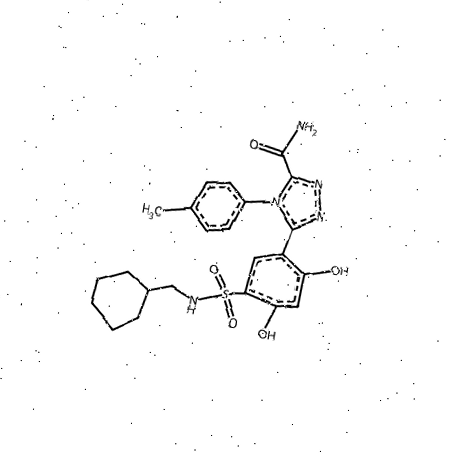 Cc1ccc(-n2c(C(N)=O)nnc2-c2cc(S(=O)(=O)NCC3CCCCC3)c(O)cc2O)cc1